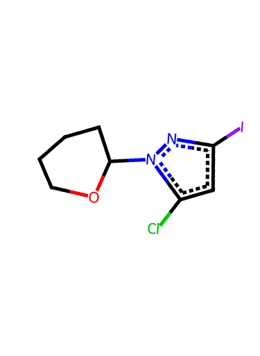 Clc1cc(I)nn1C1CCCCO1